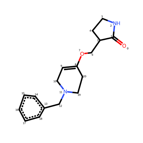 O=C1NCCC1COC1=CCN(Cc2ccccc2)CC1